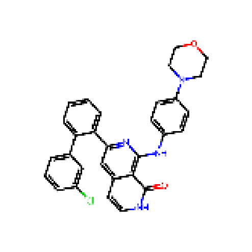 O=c1[nH]ccc2cc(-c3ccccc3-c3cccc(Cl)c3)nc(Nc3ccc(N4CCOCC4)cc3)c12